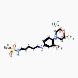 Cc1cc(NCCCCCNS(=O)(=O)C(C)(C)C)ccc1N1C[C@@H](C)O[C@@H](C)C1